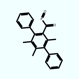 Cc1c(C)c(-c2ccccc2)c(C(=O)P=O)c(C)c1-c1ccccc1